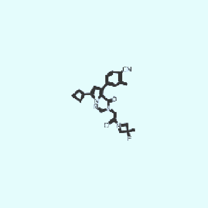 Cc1cc(-c2cc(C3CCC3)n3ncn(CC(=O)N4CC(C)(F)C4)c(=O)c23)ccc1C#N